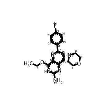 C1COCCN1.CCOc1nc(N)nc2ccc(-c3ccc(F)cc3)nc12